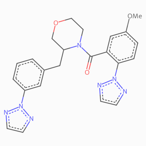 COc1ccc(-n2nccn2)c(C(=O)N2CCOCC2Cc2cccc(-n3nccn3)c2)c1